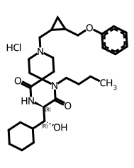 CCCCN1C(=O)[C@@H]([C@H](O)C2CCCCC2)NC(=O)C12CCN(CC1CC1COc1ccccc1)CC2.Cl